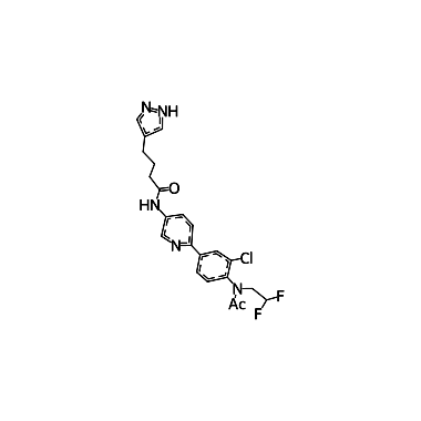 CC(=O)N(CC(F)F)c1ccc(-c2ccc(NC(=O)CCCc3cn[nH]c3)cn2)cc1Cl